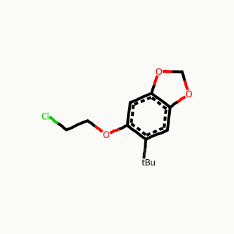 CC(C)(C)c1cc2c(cc1OCCCl)OCO2